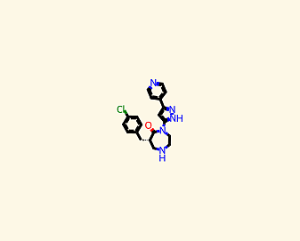 O=C1[C@@H](Cc2ccc(Cl)cc2)CNCCN1c1cc(-c2ccncc2)n[nH]1